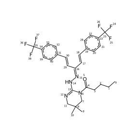 CCCCC(=O)N1CC(C)(C)CN=C1NN=C(C=Cc1ccc(C(F)(F)F)cc1)C=Cc1ccc(C(F)(F)F)cc1